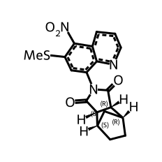 CSc1cc(N2C(=O)[C@@H]3[C@@H]4CC[C@@H](C4)[C@@H]3C2=O)c2ncccc2c1[N+](=O)[O-]